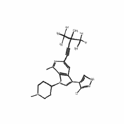 [2H]C([2H])([2H])C(O)(C#Cc1cc2c(-c3c[nH]nc3Cl)cn(C3CCN(C)CC3)c2c(C)n1)C([2H])([2H])[2H]